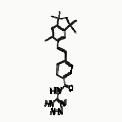 Cc1cc2c(cc1C=Cc1ccc(C(=O)Nc3nnn[nH]3)cc1)C(C)(C)CC2(C)C